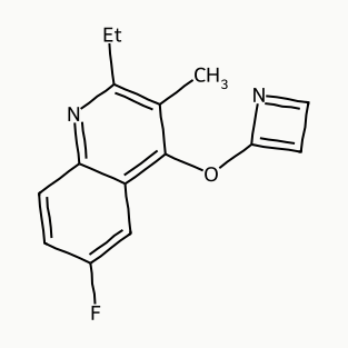 CCc1nc2ccc(F)cc2c(OC2=CC=N2)c1C